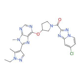 CCn1ncc(-c2nc3c(OC4CCN(C(=O)c5nc6cc(Cl)ccn6n5)C4)ncnc3n2C)c1C